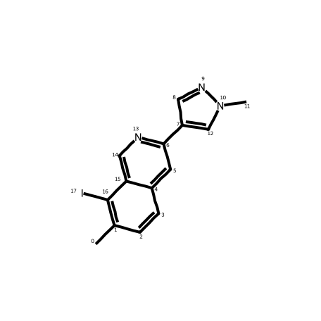 Cc1ccc2cc(-c3cnn(C)c3)ncc2c1I